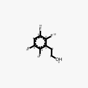 OC[CH]c1c(F)c(F)cc(F)c1F